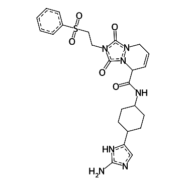 Nc1ncc(C2CCC(NC(=O)C3C=CCn4c(=O)n(CCS(=O)(=O)c5ccccc5)c(=O)n43)CC2)[nH]1